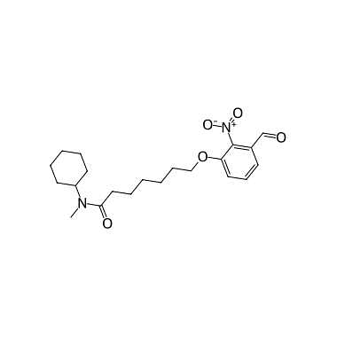 CN(C(=O)CCCCCCOc1cccc(C=O)c1[N+](=O)[O-])C1CCCCC1